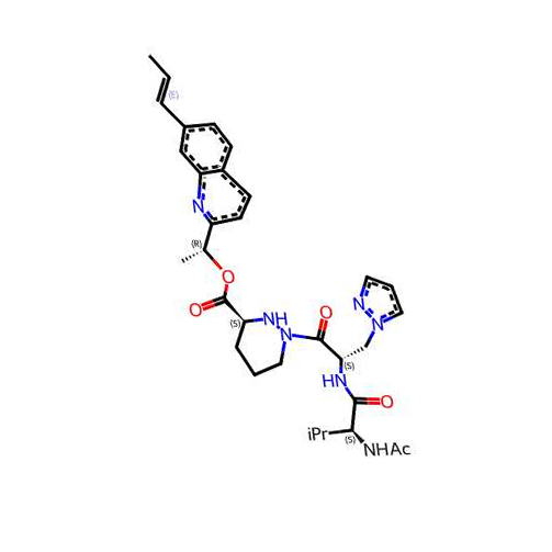 C/C=C/c1ccc2ccc([C@@H](C)OC(=O)[C@@H]3CCCN(C(=O)[C@H](Cn4cccn4)NC(=O)[C@@H](NC(C)=O)C(C)C)N3)nc2c1